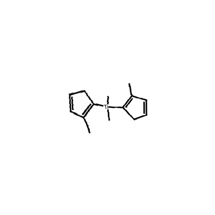 CC1=[C]([Ti]([CH3])([CH3])[C]2=C(C)C=CC2)CC=C1